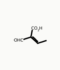 C/C=C(/[C]=O)C(=O)O